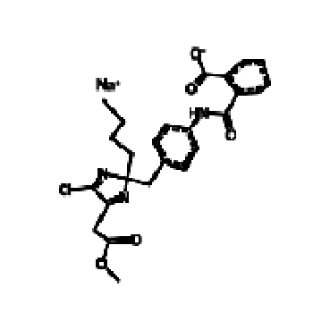 CCCCC1(Cc2ccc(NC(=O)c3ccccc3C(=O)[O-])cc2)N=C(Cl)C(CC(=O)OC)=N1.[Na+]